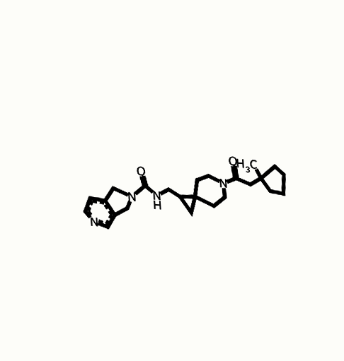 CC1(CC(=O)N2CCC3(CC2)CC3CNC(=O)N2Cc3ccncc3C2)CCCC1